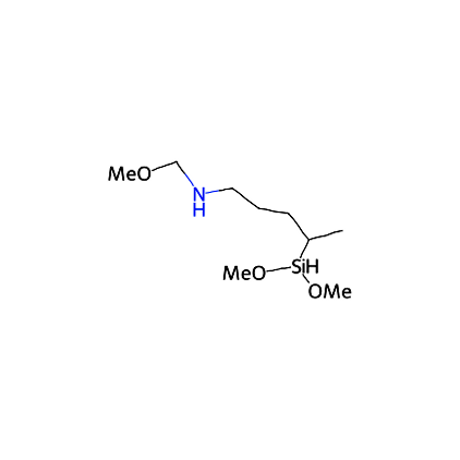 COCNCCCC(C)[SiH](OC)OC